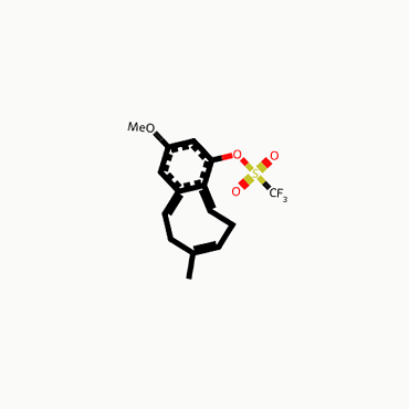 COc1cc(OS(=O)(=O)C(F)(F)F)c2/c(c1)=C\C/C(C)=C\C/C=2